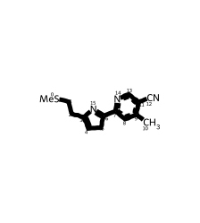 CSCCC1=CCC(c2cc(C)c(C#N)cn2)=N1